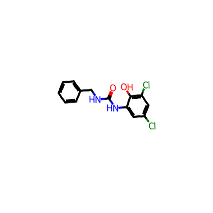 O=C(NCc1ccccc1)Nc1cc(Cl)cc(Cl)c1O